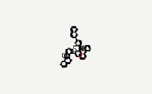 c1ccc(-c2ccccc2N(c2ccc(-c3ccc4ccccc4c3)cc2)c2cccc3c2sc2ccc4oc5c6ccccc6ccc5c4c23)cc1